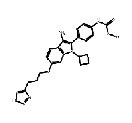 CC(C)OC(=O)Nc1ccc(-c2c(N)c3ccc(OCCCc4nn[nH]n4)cc3n2C2CCC2)cc1